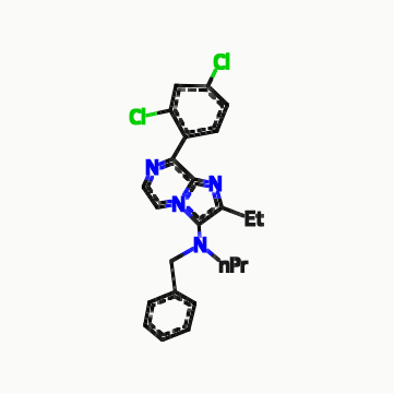 CCCN(Cc1ccccc1)c1c(CC)nc2c(-c3ccc(Cl)cc3Cl)nccn12